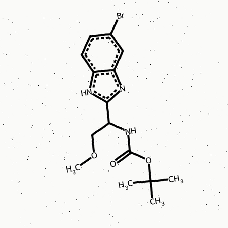 COCC(NC(=O)OC(C)(C)C)c1nc2cc(Br)ccc2[nH]1